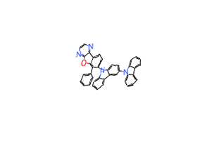 c1ccc(-c2c(-n3c4ccccc4c4cc(-n5c6ccccc6c6ccccc65)ccc43)ccc3c2oc2nccnc23)cc1